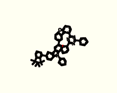 CC1(C)c2cccc(-c3ccc4c(c3)c3cc(-c5ccc6oc7cccc(-c8nc(-c9ccccc9)nc(-c9ccccc9)n8)c7c6c5)ccc3n4-c3ccccc3)c2C(C)(C)C1(C)C